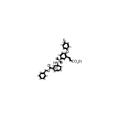 CCOC(=O)C=Cc1cc(S(=O)(=O)NC23CCC(CC(C(=O)OCc4ccccc4)C2)O3)ccc1Oc1ccc(F)cc1